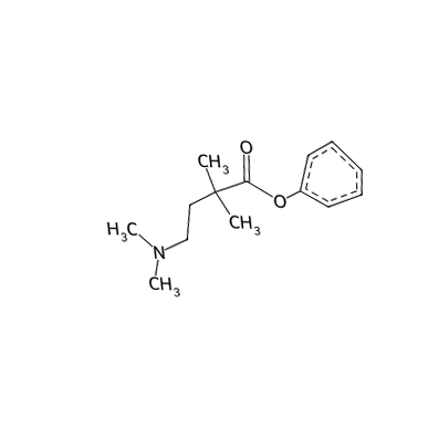 CN(C)CCC(C)(C)C(=O)Oc1ccccc1